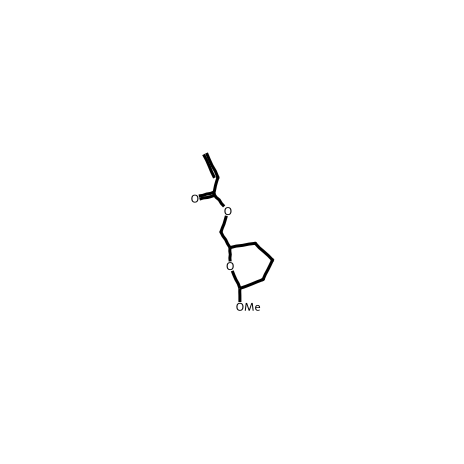 C=CC(=O)OCC1CCCC(OC)O1